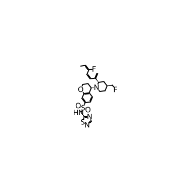 C=C(/C=C\C(F)=C/C)[C@H]1C[C@@H](CF)CCN1[C@H]1CCOc2cc(S(=O)(=O)Nc3ncns3)ccc21